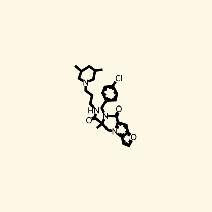 CC1CC(C)CN(CCCNC(=O)C2(C)Cn3c(cc4occc43)C(=O)N2Cc2ccc(Cl)cc2)C1